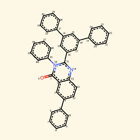 O=c1c2cc(-c3ccccc3)ccc2nc(-c2cc(-c3ccccc3)cc(-c3ccccc3)c2)n1-c1ccccc1